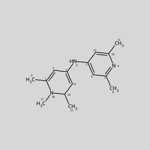 CC1=CC(Nc2cc(C)nc(C)c2)=CC(C)N1C